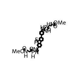 COC(=O)NCCC(=O)Pc1ncc(-c2ccc3c(c2)C(F)(F)c2cc(-c4ccc5nc(PC(=O)CCNC(=O)OC)[nH]c5c4)ccc2-3)[nH]1